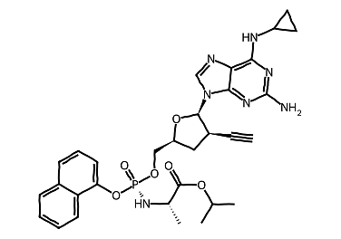 C#C[C@H]1C[C@@H](CO[P@@](=O)(N[C@@H](C)C(=O)OC(C)C)Oc2cccc3ccccc23)O[C@H]1n1cnc2c(NC3CC3)nc(N)nc21